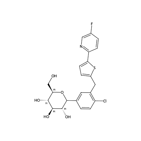 OC[C@H]1OC(c2ccc(Cl)c(Cc3ccc(-c4ccc(F)cn4)s3)c2)[C@H](O)[C@@H](O)[C@@H]1O